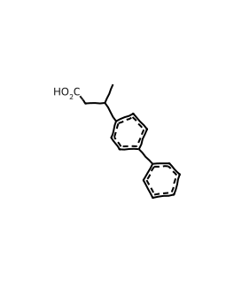 CC(CC(=O)O)c1ccc(-c2ccccc2)cc1